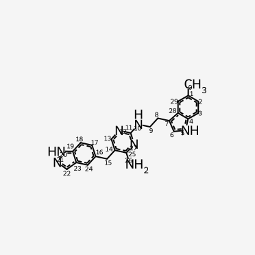 Cc1ccc2[nH]cc(CCNc3ncc(Cc4ccc5[nH]ncc5c4)c(N)n3)c2c1